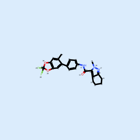 Cc1cc2c(cc1-c1ccc(NC(=O)c3c4c(nn3C)CCCC4)cc1)OC(F)(F)O2